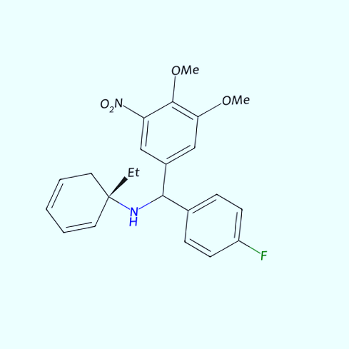 CC[C@@]1(NC(c2ccc(F)cc2)c2cc(OC)c(OC)c([N+](=O)[O-])c2)C=CC=CC1